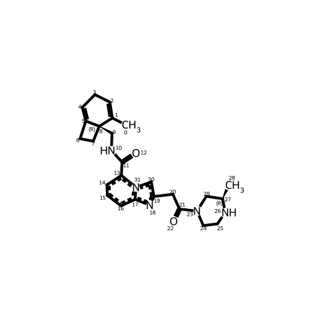 CC1=CCC=C2CC[C@@]12CNC(=O)c1cccc2nc(CC(=O)N3CCN[C@H](C)C3)cn12